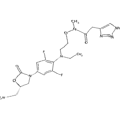 CCN(CCON(C)C(=O)Cc1c[nH]nn1)c1c(F)cc(N2C[C@H](CN)OC2=O)cc1F